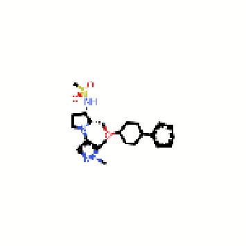 Cc1c(N2CC[C@H](NS(C)(=O)=O)[C@@H]2COC2CCC(c3ccccc3)CC2)cnn1C